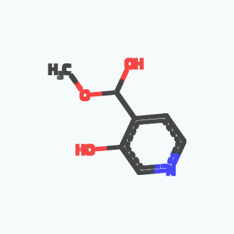 COC(O)c1ccncc1O